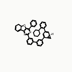 C1=CCC2Oc3c(nc(-c4cccc(-c5cccc(C6=CC(c7ccccc7C7CCCCC7)=C[C@H]7C=C67)c5)c4)nc3-c3ccccc3)C2=C1